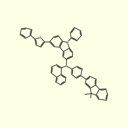 CC1(C)c2ccccc2-c2ccc(-c3ccc(N(c4ccc5c(c4)c4cc(-c6ccc(-c7ccccc7)s6)ccc4n5-c4ccccc4)c4cccc5ccccc45)cc3)cc21